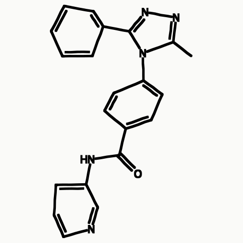 Cc1nnc(-c2ccccc2)n1-c1ccc(C(=O)Nc2cccnc2)cc1